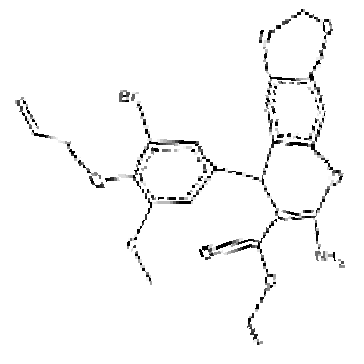 C=CCOc1c(Br)cc(C2C(C(=O)OCC)=C(N)Oc3cc4c(cc32)OCO4)cc1OC